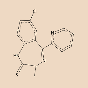 CC1N=C(c2ccccn2)c2cc(Cl)ccc2NC1=S